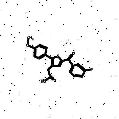 COc1ccc(-c2sc(C(=O)c3cccc(F)c3)cc2CC(=O)O)cc1